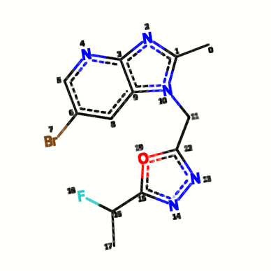 Cc1nc2ncc(Br)cc2n1Cc1nnc(C(C)F)o1